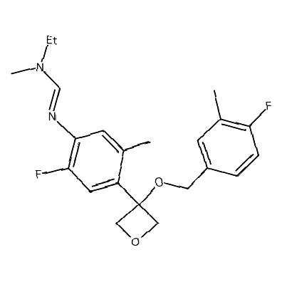 CCN(C)C=Nc1cc(C)c(C2(OCc3ccc(F)c(C)c3)COC2)cc1F